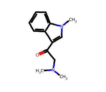 CN(C)CC(=O)c1cn(C)c2ccccc12